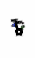 CC1(C)N=C1c1ccccc1Cl